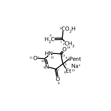 C=C(C)C(=O)O.CCCC(C)C1(CC)C(=O)N=C([O-])NC1=O.[Na+]